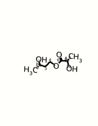 C[C@H](O)CCOC(=O)[C@@H](C)O